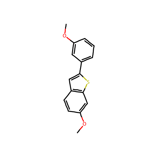 COc1cccc(-c2cc3ccc(OC)cc3s2)c1